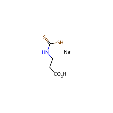 O=C(O)CCNC(=S)S.[Na]